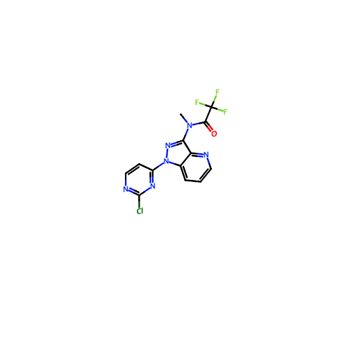 CN(C(=O)C(F)(F)F)c1nn(-c2ccnc(Cl)n2)c2cccnc12